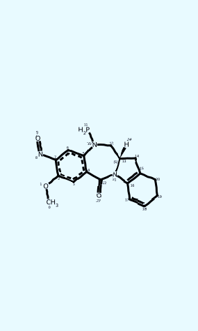 COc1cc2c(cc1N=O)N(P)C[C@@H]1CC3=C(C=CCC3)N1C2=O